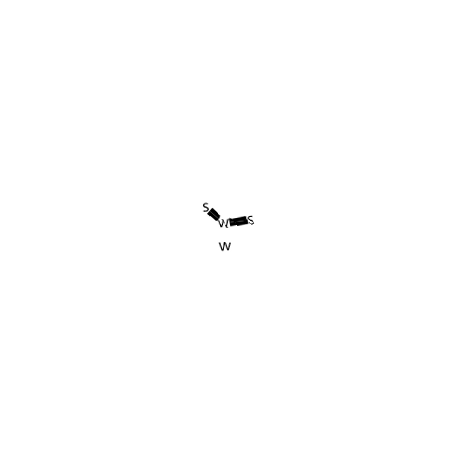 [S]=[W]=[S].[W]